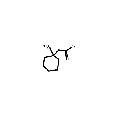 CCOC(=O)C1(CC(=O)CC)CCCCC1